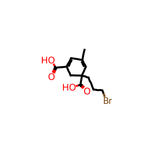 CC1=CC(CCCBr)(C(=O)O)CC(C(=O)O)=C1